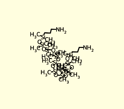 C[Si](C)(CCCN)O[Si](C)(C)O[Si](C)(C)O[Si](C)(C)O[Si](C)(C)O[Si](C)(C)O[Si](C)(C)O[Si](C)(C)O[Si](C)(C)O[Si](C)(C)CCCN